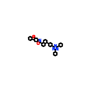 c1ccc(-c2nc(-c3ccccc3)nc(-c3ccc(-c4cccc5c(-c6nc7cc8oc9ccccc9c8cc7o6)cccc45)cc3)n2)cc1